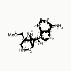 CCO[C@@H]1C2ONC[C@]1(COC)OC2n1cnc2c(N)ncnc21